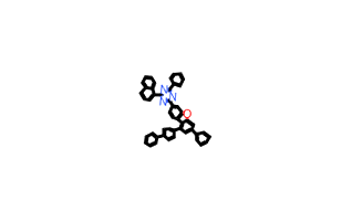 c1ccc(-c2ccc(-c3cc(-c4ccccc4)cc4oc5cc(-c6nc(-c7ccccc7)nc(-c7cccc8ccccc78)n6)ccc5c34)cc2)cc1